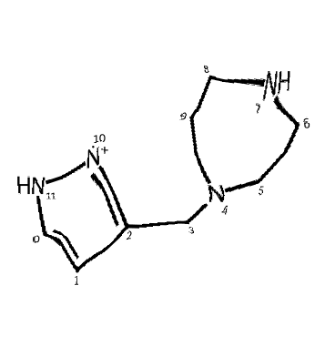 C1=CC(CN2CCNCC2)=[N+]N1